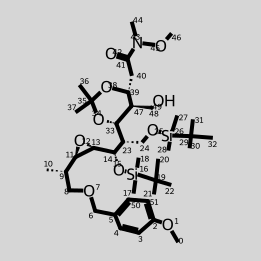 COc1ccc(COC[C@H](C)[C@H]2O[C@@H]2[C@@H](O[Si](C)(C)C(C)(C)C)[C@@H](CO[Si](C)(C)C(C)(C)C)[C@@H]2OC(C)(C)O[C@H](CC(=O)N(C)OC)[C@H]2CO)cc1